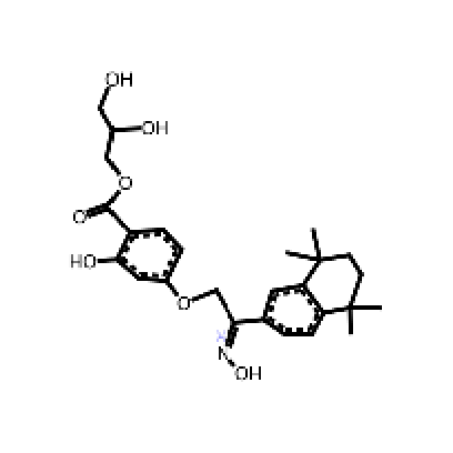 CC1(C)CCC(C)(C)c2cc(/C(COc3ccc(C(=O)OCC(O)CO)c(O)c3)=N\O)ccc21